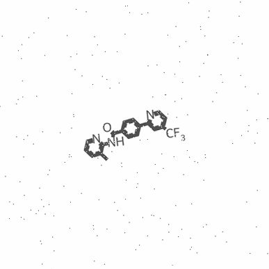 Cc1cccnc1NC(=O)c1ccc(-c2cc(C(F)(F)F)ccn2)cc1